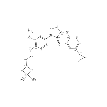 COc1cc(N2CC[C@H](Oc3ccc(C4CC4)cc3)C2=O)ccc1OCCN1CC(C)(O)C1